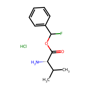 CC(C)[C@H](N)C(=O)OC(F)c1ccccc1.Cl